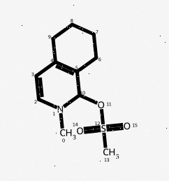 CN1C=CC2=C(CCCC2)C1OS(C)(=O)=O